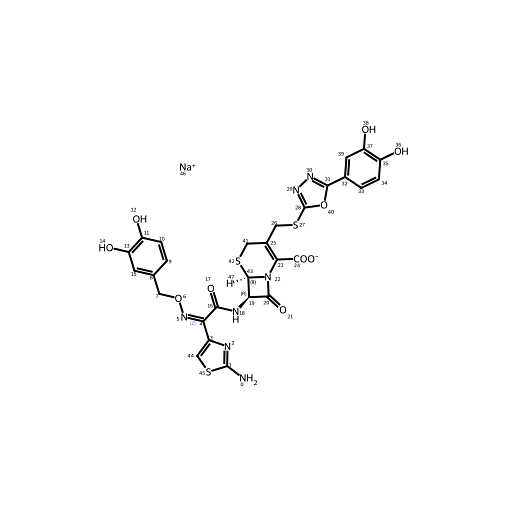 Nc1nc(/C(=N/OCc2ccc(O)c(O)c2)C(=O)N[C@@H]2C(=O)N3C(C(=O)[O-])=C(CSc4nnc(-c5ccc(O)c(O)c5)o4)CS[C@H]23)cs1.[Na+]